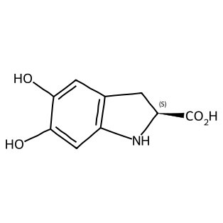 O=C(O)[C@@H]1Cc2cc(O)c(O)cc2N1